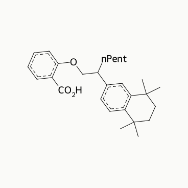 CCCCCC(COc1ccccc1C(=O)O)c1ccc2c(c1)C(C)(C)CCC2(C)C